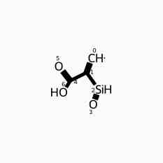 [CH]=C([SiH]=O)C(=O)O